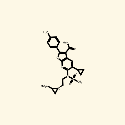 CNC(=O)c1c(-c2ccc(C)cc2)oc2nc(N(CC[C@H]3CC3C(=O)O)S(C)(=O)=O)c(C3CC3)cc12